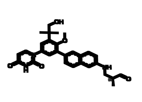 COc1c(-c2ccc3cc(NC[C@H](C)C=O)ccc3c2)cc(-n2ccc(=O)[nH]c2=O)cc1C(C)(C)CO